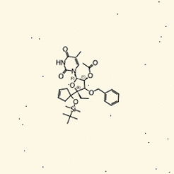 CC[C@@]1(C2(O[Si](C)(C)C(C)(C)C)CC=CC2)O[C@@H](n2cc(C)c(=O)[nH]c2=O)[C@@H](OC(C)=O)C1OCc1ccccc1